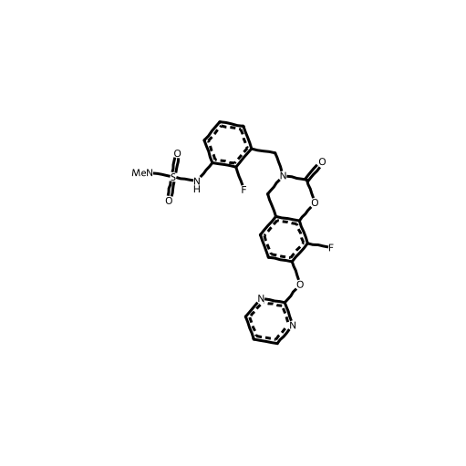 CNS(=O)(=O)Nc1cccc(CN2Cc3ccc(Oc4ncccn4)c(F)c3OC2=O)c1F